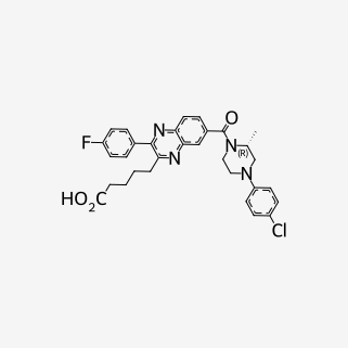 C[C@@H]1CN(c2ccc(Cl)cc2)CCN1C(=O)c1ccc2nc(-c3ccc(F)cc3)c(CCCCC(=O)O)nc2c1